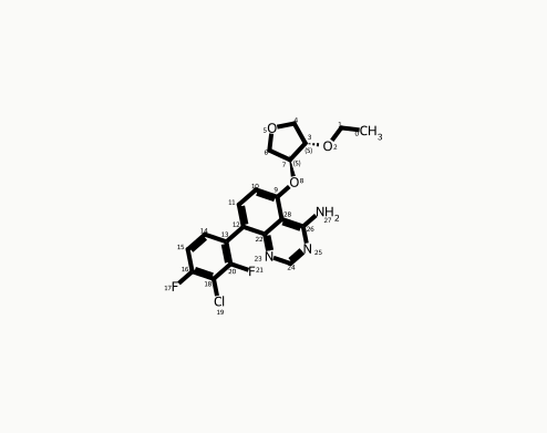 CCO[C@H]1COC[C@@H]1Oc1ccc(-c2ccc(F)c(Cl)c2F)c2ncnc(N)c12